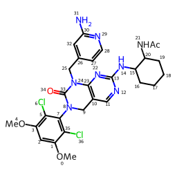 COc1cc(OC)c(Cl)c(N2Cc3cnc(NC4CCCCC4NC(C)=O)nc3N(Cc3ccnc(N)c3)C2=O)c1Cl